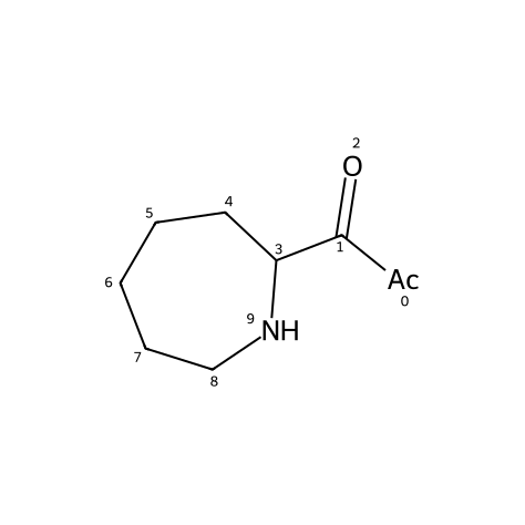 CC(=O)C(=O)C1CCCCCN1